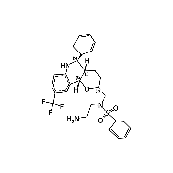 NCCN(C[C@H]1CC[C@@H]2[C@H](O1)c1cc(C(F)(F)F)ccc1N[C@H]2C1C=CC=CC1)S(=O)(=O)C1C=CC=CC1